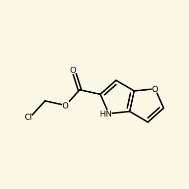 O=C(OCCl)c1cc2occc2[nH]1